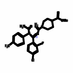 C=C(/N=C(/c1ccc(Cl)cc1F)N(C(N)=O)c1ccc(C(F)(F)F)cc1)N1CCN(C(=O)OC)CC1